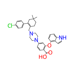 CC1(C)CCC(CN2CCN(c3ccc(C(=O)O)c(Oc4cccc5[nH]ccc45)c3)CC2)=C(c2ccc(Cl)cc2)C1